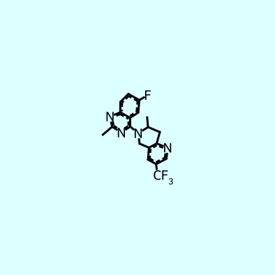 Cc1nc(N2Cc3cc(C(F)(F)F)cnc3CC2C)c2cc(F)ccc2n1